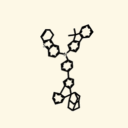 CC1(C)c2ccccc2-c2ccc(N(c3ccc(-c4ccc5c(c4)-c4ccccc4C54C5CC6CC(C5)CC4C6)cc3)c3ccc4sc5c(c4c3)CCC=C5)cc21